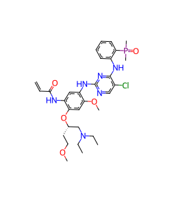 C=CC(=O)Nc1cc(Nc2ncc(Cl)c(Nc3ccccc3P(C)(C)=O)n2)c(OC)cc1O[C@@H](CCOC)CN(CC)CC